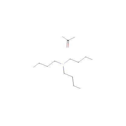 CC(C)=O.CCCCN(CCCC)CCCC